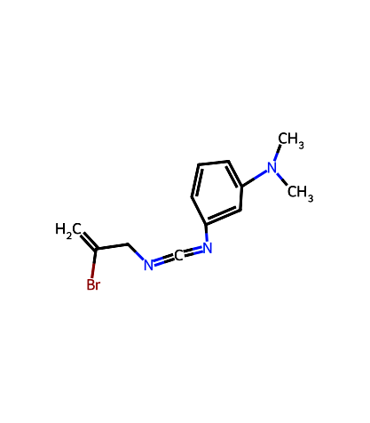 C=C(Br)CN=C=Nc1cccc(N(C)C)c1